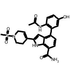 CC(=O)Nc1ccc(O)cc1-c1ccc(C(N)=O)c2[nH]c(C3=CCN(S(C)(=O)=O)CC3)cc12